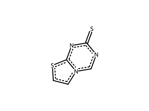 S=c1ncn2ccsc2n1